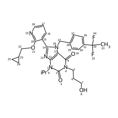 CC(C)n1c(=O)n(CCCO)c(=O)c2c1nc(-c1cccnc1OCC1CC1)n2Cc1ccc(C(C)(F)F)cc1